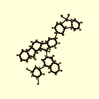 Cc1cc(C)cc(-c2nc(-n3c4ccc(-c5ccc6c(c5)-c5ccccc5C6(C)C)cc4c4ccc5c6ccccc6oc5c43)nc3ccccc23)c1